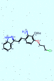 COc1c(OCCCCl)ccc(/C=C/c2n[nH]c3ccccc23)c1N